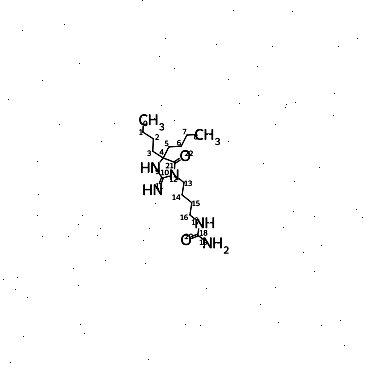 CCCCC1(CCCC)NC(=N)N(CCCCNC(N)=O)C1=O